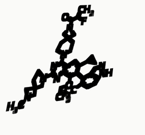 C=C(F)C(=O)N1CC2(CCN(c3nc(N4CCC5(CN(C)C5)C4)nc4c(OCC(F)(F)F)c(-c5c(C)ccc6[nH]ncc56)c(C5CC5)cc34)CC2)C1